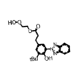 CC(C)(C)c1cc(CCC(=O)OCCOO)cc(-n2nc3ccccc3n2)c1O